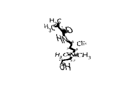 C=C(C)C(=O)NCCC[N+](C)(C)CCO.[Cl-]